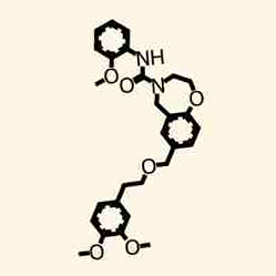 COc1ccccc1NC(=O)N1CCOc2ccc(COCCc3ccc(OC)c(OC)c3)cc2C1